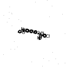 O=c1n(-c2ccc(N3CCN(c4ccc(OC[C@@H]5CO[C@@](Cn6ccnc6)(c6ccc(Cl)cc6Cl)O5)cc4)CC3)cc2)cnn1C1CCCCC1